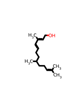 CC(C)=CCCC(C)CCC=CC(C)=CCO